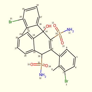 Cc1c(Br)cccc1C1=C(S(N)(=O)=O)C(O)(c2cccc(Br)c2C)c2ccccc2C1S(N)(=O)=O